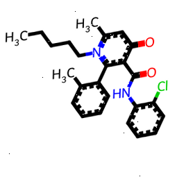 CCCCCn1c(C)cc(=O)c(C(=O)Nc2ccccc2Cl)c1-c1ccccc1C